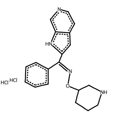 Cl.Cl.c1ccc(C(=NOC2CCCNC2)c2cc3ccncc3[nH]2)cc1